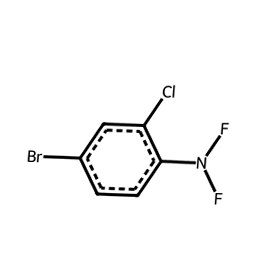 FN(F)c1ccc(Br)cc1Cl